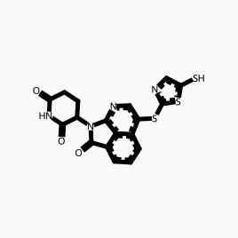 O=C1CCC(N2C(=O)c3cccc4c(Sc5ncc(S)s5)cnc2c34)C(=O)N1